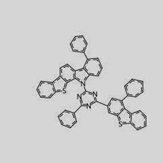 c1ccc(-c2nc(-c3cc(-c4ccccc4)c4c(c3)sc3ccccc34)nc(-n3c4cccc(-c5ccccc5)c4c4ccc5c6ccccc6sc5c43)n2)cc1